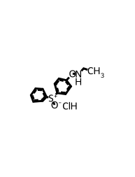 CCNOc1ccc([S+]([O-])c2ccccc2)cc1.Cl